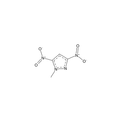 Cn1nc([N+](=O)[O-])cc1[N+](=O)[O-]